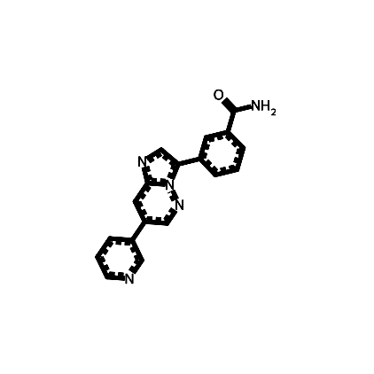 NC(=O)c1cccc(-c2cnc3cc(-c4cccnc4)cnn23)c1